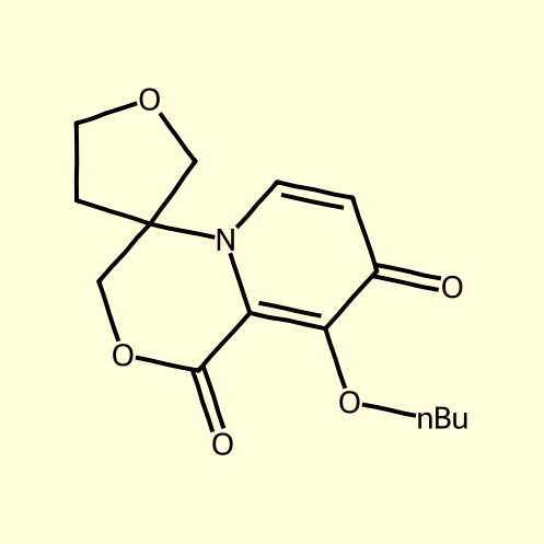 CCCCOc1c2n(ccc1=O)C1(CCOC1)COC2=O